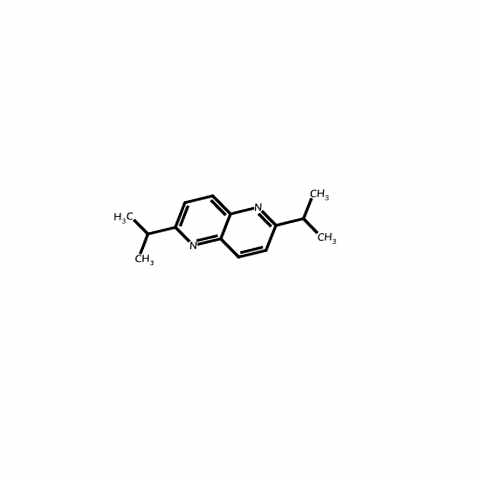 CC(C)c1ccc2nc(C(C)C)ccc2n1